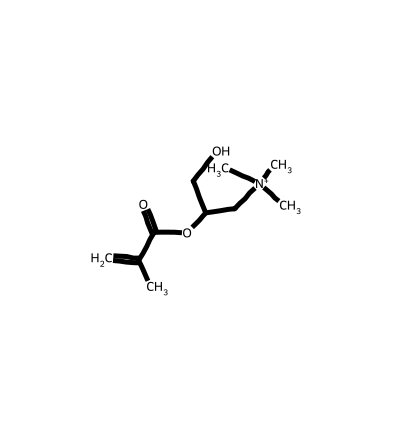 C=C(C)C(=O)OC(CO)C[N+](C)(C)C